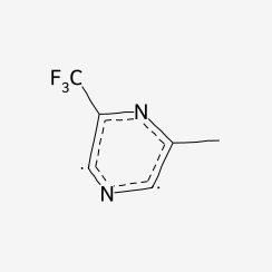 Cc1[c]n[c]c(C(F)(F)F)n1